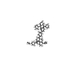 N#Cc1ccc(N2Cc3ccc(C#N)c4ccc5c(-c6ccc(-c7ccc8c(-c9ccccc9)c9ccccc9c(-c9ccccc9)c8c7)cc6)ccc2c5c34)cc1